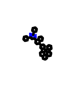 c1ccc(-c2cc(-c3ccc(-c4ccc5c(c4)-c4ccc6ccccc6c4C5(c4ccccc4)c4ccccc4)c4ccccc34)nc(-c3ccccc3)n2)cc1